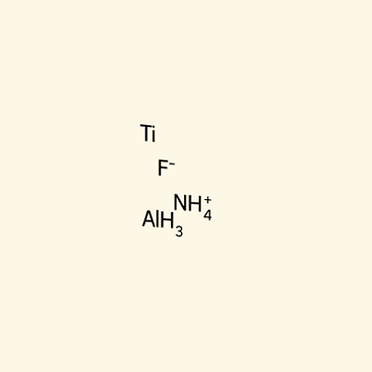 [AlH3].[F-].[NH4+].[Ti]